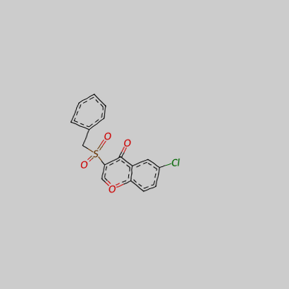 O=c1c(S(=O)(=O)Cc2ccccc2)coc2ccc(Cl)cc12